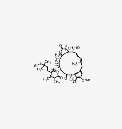 COc1cc2cc(c1Cl)N(C)C(=O)C[C@H](OC(=O)[C@@H](C)N(C)C(=O)CCC(C)(C)SC(C)C)[C@]1(C)O[C@H]1[C@H](C)[C@@H]1C[C@@](O)(NC(=O)O1)[C@H](C=O)/C=C/C=C(\C)C2